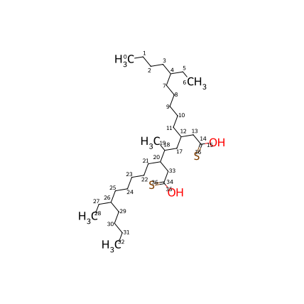 CCCCC(CC)CCCCCC(CC(O)=S)CC(C)C(CCCCCC(CC)CCCC)CC(O)=S